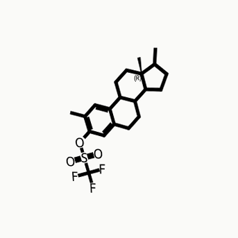 Cc1cc2c(cc1OS(=O)(=O)C(F)(F)F)CCC1C2CC[C@]2(C)C(C)CCC12